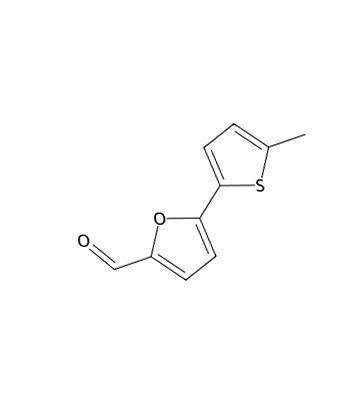 Cc1ccc(-c2ccc(C=O)o2)s1